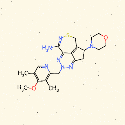 COc1c(C)cnc(CN2N=C3CC(N4CCOCC4)C4=C3C(=N2)C(N)=NSC4)c1C